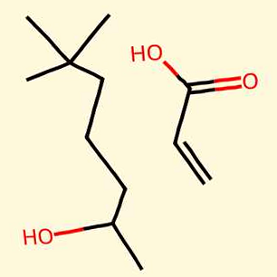 C=CC(=O)O.CC(O)CCCC(C)(C)C